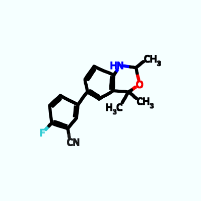 CC1Nc2ccc(-c3ccc(F)c(C#N)c3)cc2C(C)(C)O1